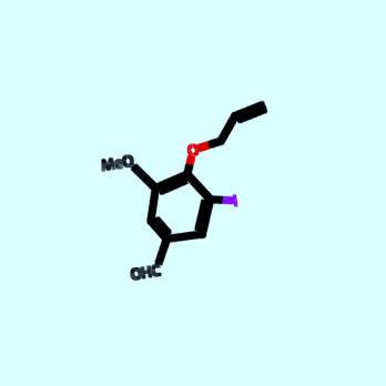 C=CCOc1c(I)cc(C=O)cc1OC